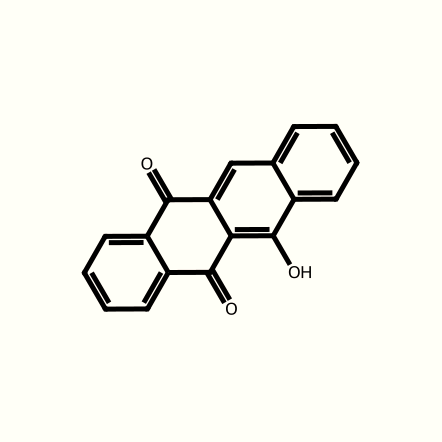 O=C1c2ccccc2C(=O)c2c1cc1ccccc1c2O